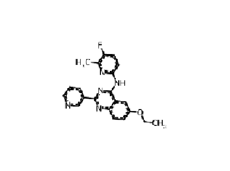 CCOc1ccc2nc(-c3cccnc3)nc(Nc3ccc(F)c(C)n3)c2c1